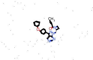 CC#CC(=O)N1CC[C@@H]1Cn1nc(-c2ccc(Oc3ccccc3)cc2)c2cncnc21